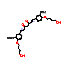 COc1cc(/C=C/C(=O)CC(=O)/C=C/c2ccc(OCCCCO)c(OC)c2)ccc1OCCCCO